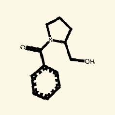 O=C(c1[c]cccc1)N1CCCC1CO